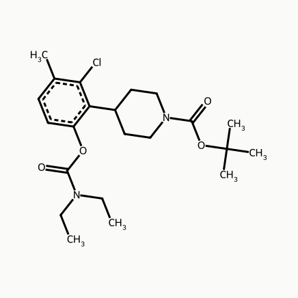 CCN(CC)C(=O)Oc1ccc(C)c(Cl)c1C1CCN(C(=O)OC(C)(C)C)CC1